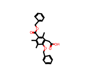 Cc1c(C)c(C(=O)OCc2ccccc2)c(C)c(CC(=O)O)c1OCc1ccccc1